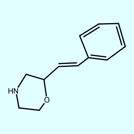 C(=CC1CNCCO1)c1ccccc1